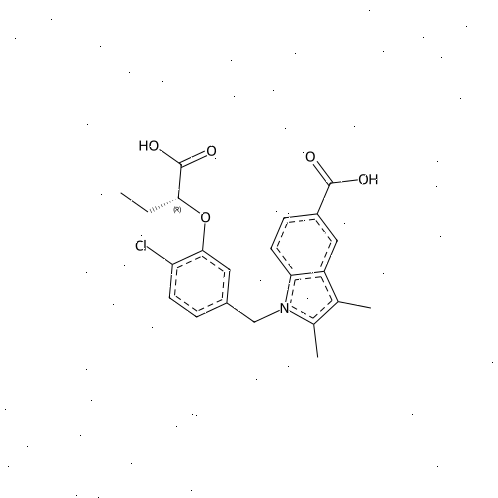 CC[C@@H](Oc1cc(Cn2c(C)c(C)c3cc(C(=O)O)ccc32)ccc1Cl)C(=O)O